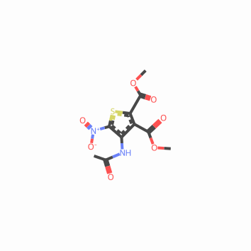 COC(=O)c1sc([N+](=O)[O-])c(NC(C)=O)c1C(=O)OC